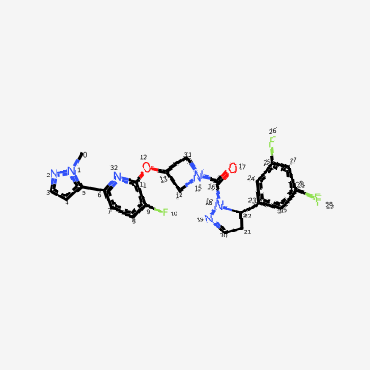 Cn1nccc1-c1ccc(F)c(OC2CN(C(=O)N3N=CCC3c3cc(F)cc(F)c3)C2)n1